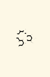 OCC(O)CO.OC[C@@H](O)[C@@H](O[C@@H]1O[C@H](CO)[C@H](O)[C@H](O)[C@H]1O)[C@H](O)[C@@H](O)CO